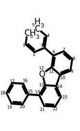 C/C=C\C(=C/C)c1cccc2c1oc1c(-c3ccccc3)cccc12